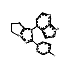 Fc1ccc(-c2nn3c(c2-c2ccnc4[nH]ccc24)CCC3)nc1